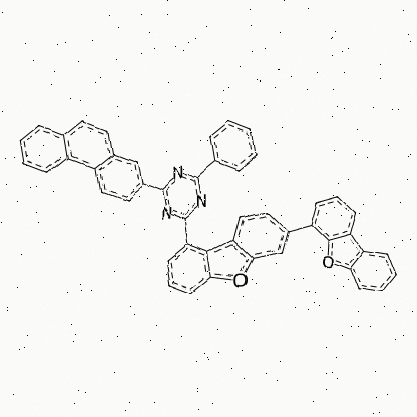 c1ccc(-c2nc(-c3ccc4c(ccc5ccccc54)c3)nc(-c3cccc4oc5cc(-c6cccc7c6oc6ccccc67)ccc5c34)n2)cc1